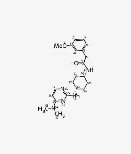 COc1cccc(CC(=O)N[C@H]2CC[C@@H](Nc3nccc(N(C)C)n3)CC2)c1